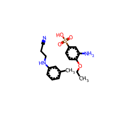 CCOc1ccc(S(=O)(=O)O)cc1N.Cc1cccc(NCCC#N)c1